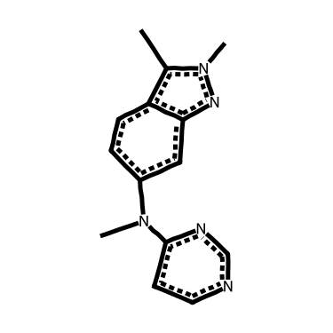 Cc1c2ccc(N(C)c3ccncn3)cc2nn1C